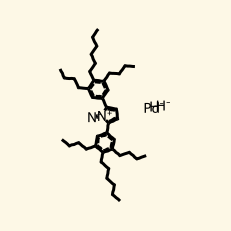 CCCCCCc1c(CCCC)cc(C2=CC=C(c3cc(CCCC)c(CCCCCC)c(CCCC)c3)[N+]2=[N-])cc1CCCC.[H-].[H-].[Pd]